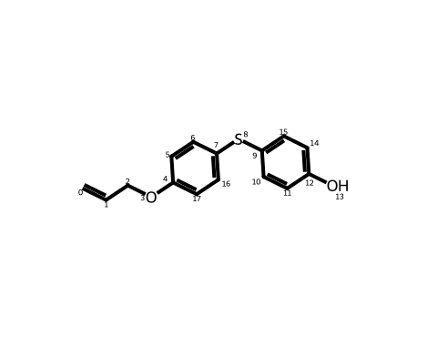 C=CCOc1ccc(Sc2ccc(O)cc2)cc1